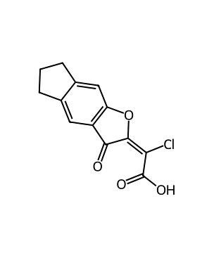 O=C(O)C(Cl)=C1Oc2cc3c(cc2C1=O)CCC3